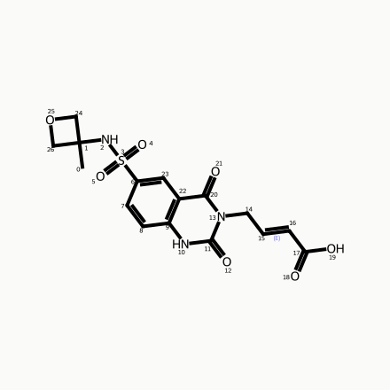 CC1(NS(=O)(=O)c2ccc3[nH]c(=O)n(C/C=C/C(=O)O)c(=O)c3c2)COC1